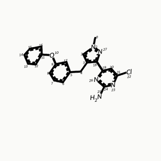 Cn1cc(Cc2cccc(Oc3ccccc3)c2)c(-c2cc(Cl)nc(N)n2)n1